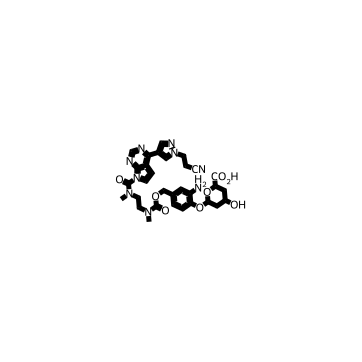 CN(CCN(C)C(=O)n1ccc2c(-c3cnn(CCC#N)c3)ncnc21)C(=O)OCc1ccc(OC2CC(O)CC(C(=O)O)O2)c(N)c1